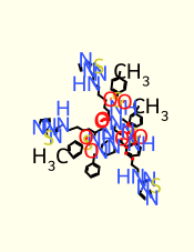 Cc1ccc(S(=O)(=O)NC(CCCCNc2nsc3nccn23)C(=O)N2CCN(Cc3ccccc3)CC2N(C(=O)C(CCCCNc2nsc3nccn23)NS(=O)(=O)c2ccc(C)cc2)C2CN(Cc3ccccc3)CCN2C(=O)C(CCCCNc2nsc3nccn23)NS(=O)(=O)c2ccc(C)cc2)cc1